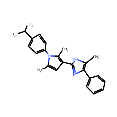 Cc1[nH]c(-c2cc(C)n(-c3ccc(C(C)C)cc3)c2C)nc1-c1ccccc1